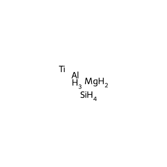 [AlH3].[MgH2].[SiH4].[Ti]